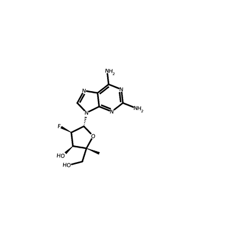 C[C@]1(CO)O[C@@H](n2cnc3c(N)nc(N)nc32)[C@H](F)[C@@H]1O